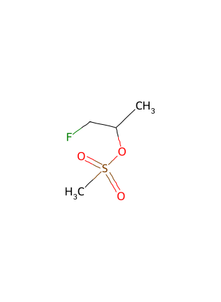 CC(CF)OS(C)(=O)=O